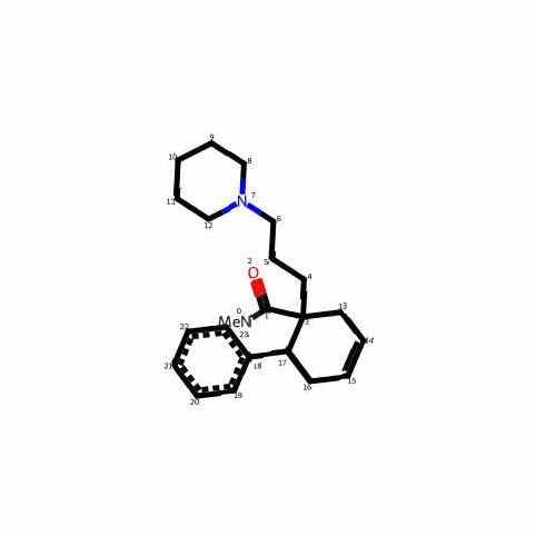 CNC(=O)C1(CCCN2CCCCC2)CC=CCC1c1ccccc1